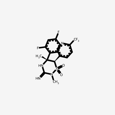 CN1C(=N)N[C@](C)(c2c(F)cc(F)cc2F)[C@@H](c2ccc(C(F)(F)F)nc2)S1(=O)=O